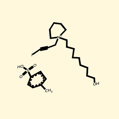 Cc1ccc(S(=O)(=O)O)cc1.OCCCCCCCCC[N+]1(CC#CI)CCCCC1